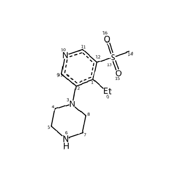 CCc1c(N2CCNCC2)[c]ncc1S(C)(=O)=O